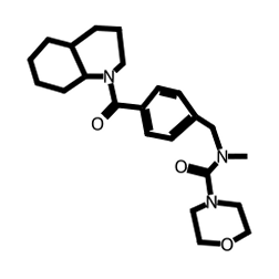 CN(Cc1ccc(C(=O)N2CCCC3CCCCC32)cc1)C(=O)N1CCOCC1